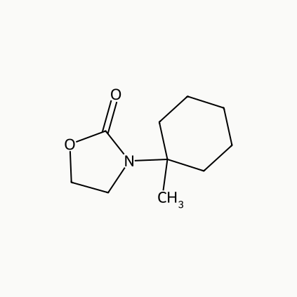 CC1(N2CCOC2=O)CCCCC1